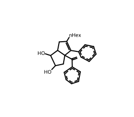 C=C(c1ccccc1)C12CC(O)C(O)C1CC(CCCCCC)=C2c1ccccc1